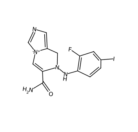 NC(=O)C1=C[N+]2C=NC=C2CN1Nc1ccc(I)cc1F